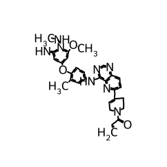 C=CC(=O)N1CC=C(c2ccc3ncnc(Nc4ccc(Oc5cc(OC)n(NC)c(=N)c5)c(C)c4)c3n2)CC1